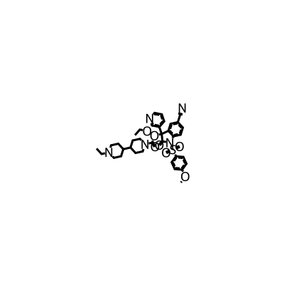 CCOc1ncccc1C1(OC(=O)N2CCC(C3CCN(CC)CC3)CC2)C(=O)N(S(=O)(=O)c2ccc(OC)cc2)c2ccc(C#N)cc21